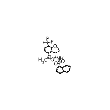 COc1ccc(C(F)(F)F)c2c1[C@@H](C(=O)NS(=O)(=O)c1cccc3ccccc13)CCO2